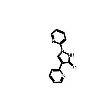 O=c1[nH]n(-c2ccccn2)cc1-c1ccccn1